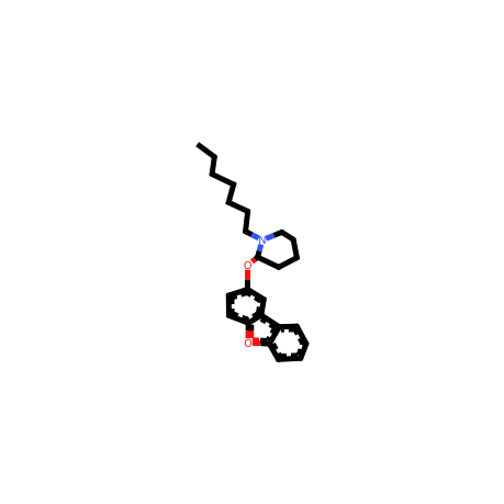 CCCCCCCN1CCCCC1Oc1ccc2oc3ccccc3c2c1